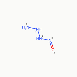 NNNN=O